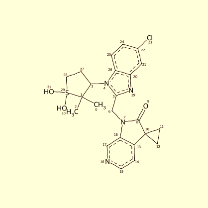 CC1(C)C(n2c(CN3C(=O)C4(CC4)c4ccncc43)nc3cc(Cl)ccc32)CCS1(O)O